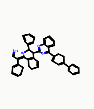 N=C/C(C1=CC=CCC1)=C1\NC(c2ccccc2)C(c2nc(C3=CC=C(c4ccccc4)CC3)c3ccccc3n2)C2=C1CCC=C2